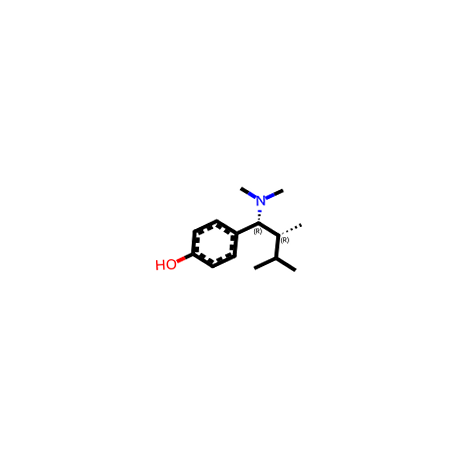 CC(C)[C@@H](C)[C@H](c1ccc(O)cc1)N(C)C